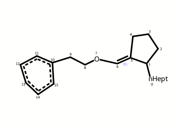 CCCCCCCC1CCC/C1=C\OCCc1ccccc1